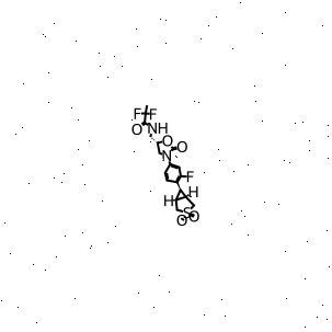 CC(F)(F)C(=O)NC[C@H]1CN(c2ccc([C@H]3[C@@H]4CS(=O)(=O)C[C@@H]43)c(F)c2)C(=O)O1